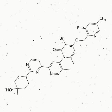 Cc1cnc(-c2ccnc(C3CCC(C)(O)CC3)n2)cc1-n1c(C)cc(OCc2ncc(C(F)(F)F)cc2F)c(Br)c1=O